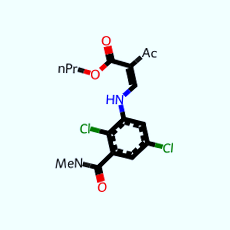 CCCOC(=O)C(=CNc1cc(Cl)cc(C(=O)NC)c1Cl)C(C)=O